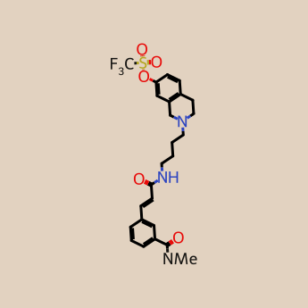 CNC(=O)c1cccc(C=CC(=O)NCCCCN2CCc3ccc(OS(=O)(=O)C(F)(F)F)cc3C2)c1